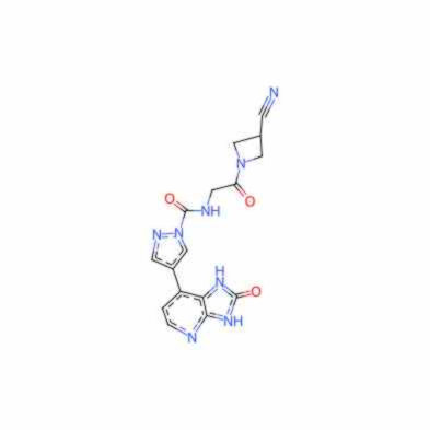 N#CC1CN(C(=O)CNC(=O)n2cc(-c3ccnc4[nH]c(=O)[nH]c34)cn2)C1